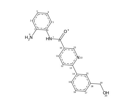 Nc1ccccc1NC(=O)c1ccc(-c2cccc(CO)c2)nc1